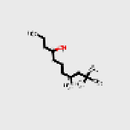 CCCC(O)CCCC(C)CC(C)(C)C